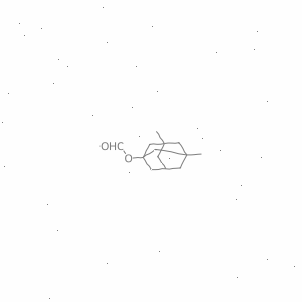 CC12CC3CC(C)(C1)CC(O[C]=O)(C3)C2